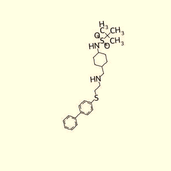 CC(C)(C)S(=O)(=O)NC1CCC(CNCCSc2ccc(-c3ccccc3)cc2)CC1